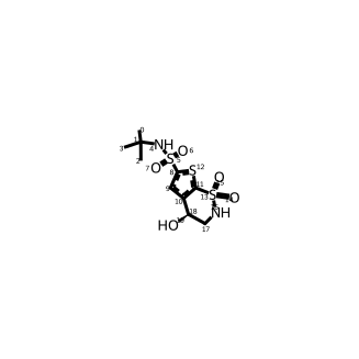 CC(C)(C)NS(=O)(=O)c1cc2c(s1)S(=O)(=O)NC[C@H]2O